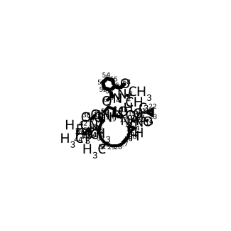 CC(C)n1nc(O[C@@H]2C[C@H]3C(=O)N[C@]4(C(=O)NS(=O)(=O)C5(C)CC5)C[C@H]4C=CCC[C@@H](C)C[C@@H](C)[C@H](N(C(=O)O)C(C)(C)C(C)(F)F)C(=O)N3C2)c2ccccc2c1=O